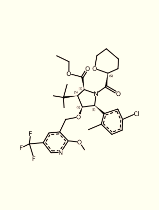 CCOC(=O)[C@@H]1[C@H](C(C)(C)C)[C@H](OCc2cc(C(F)(F)F)cnc2OC)[C@H](c2cc(Cl)ccc2C)N1C(=O)[C@@H]1CCCCO1